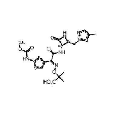 Cc1cnn(C[C@@H]2NC(=O)[C@H]2NC(=O)C(=NOC(C)(C)C(=O)O)c2csc(NC(=O)OC(C)(C)C)n2)n1